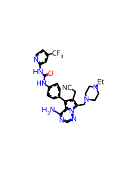 CCN1CCN(Cc2c(CC#N)c(-c3ccc(NC(=O)Nc4cc(C(F)(F)F)ccn4)cc3)c3c(N)ncnn23)CC1